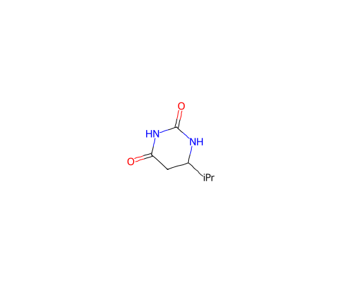 CC(C)C1CC(=O)NC(=O)N1